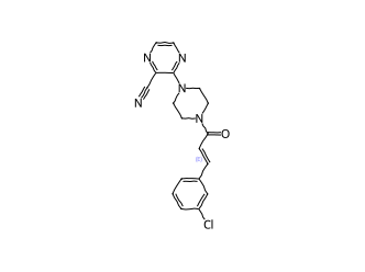 N#Cc1nccnc1N1CCN(C(=O)/C=C/c2cccc(Cl)c2)CC1